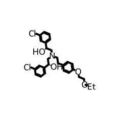 CCOCCOc1ccc(CCN(C[C@@H](O)c2cccc(Cl)c2)C[C@H](O)c2cccc(Cl)c2)cc1